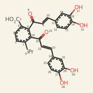 CC(C)c1ccc(C(=O)O)c(C(=O)C=Cc2ccc(O)c(O)c2)c1C(=O)C=Cc1ccc(O)c(O)c1